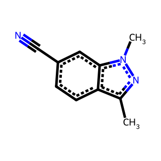 Cc1nn(C)c2cc(C#N)ccc12